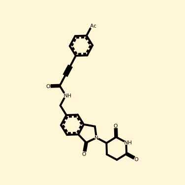 CC(=O)c1ccc(C#CC(=O)NCc2ccc3c(c2)CN(C2CCC(=O)NC2=O)C3=O)cc1